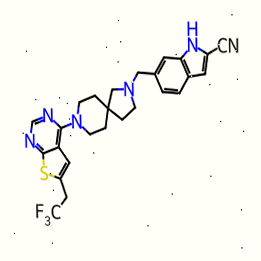 N#Cc1cc2ccc(CN3CCC4(CCN(c5ncnc6sc(CC(F)(F)F)cc56)CC4)C3)cc2[nH]1